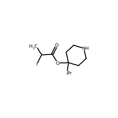 CC(I)C(=O)OC1(C(C)C)CCNCC1